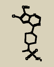 COc1c(Cl)cc2c(N3CCC(N(C)S(N)(=O)=O)CC3)ncnn12